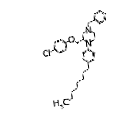 CCCCCCCCc1ccc(N2CCN(Cc3ccccc3)CC2COc2ccc(Cl)cc2)cc1